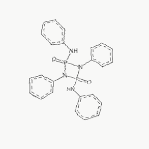 O=P1(Nc2ccccc2)N(c2ccccc2)P(=O)(Nc2ccccc2)N1c1ccccc1